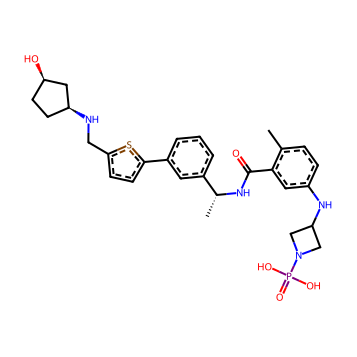 Cc1ccc(NC2CN(P(=O)(O)O)C2)cc1C(=O)N[C@H](C)c1cccc(-c2ccc(CN[C@H]3CC[C@@H](O)C3)s2)c1